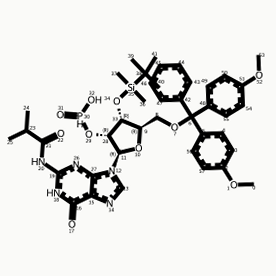 COc1ccc(C(OC[C@H]2O[C@@H](n3cnc4c(=O)[nH]c(NC(=O)C(C)C)nc43)[C@H](O[PH](=O)O)[C@@H]2O[Si](C)(C)C(C)(C)C)(c2ccccc2)c2ccc(OC)cc2)cc1